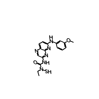 CCN(S)C(=O)Nc1cnc2ccc(Nc3cccc(OC)c3)nc2n1